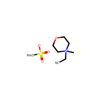 COS(=O)(=O)[O-].C[N+]1(CC#N)CCOCC1